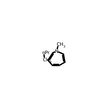 CCCC.CN1C=CC=CC=C1